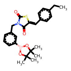 CCc1ccc(/C=C2\SC(=O)N(Cc3cccc(B4OC(C)(C)C(C)(C)O4)c3)C2=O)cc1